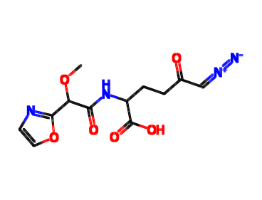 COC(C(=O)NC(CCC(=O)C=[N+]=[N-])C(=O)O)c1ncco1